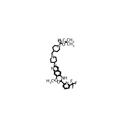 COc1cc2nn(C3CCN(CC4CCN(C(=O)OC(C)(C)C)CC4)CC3)cc2cc1NC(=O)c1cccc(C(F)(F)F)n1